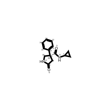 O=C1C[C@](C(=O)NC2CC2)(c2ccccc2)CN1